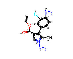 C=COC(=O)c1cn(N)c(C#N)c1-c1ccc(N)c(F)c1